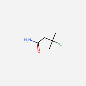 CC(C)(Cl)CC(N)=O